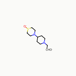 O=[C]CN1CCC(N2CC[S+]([O-])CC2)CC1